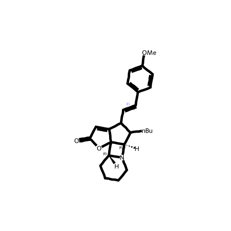 CCCCC1C(/C=C/c2ccc(OC)cc2)C2=CC(=O)OC23[C@H]2CCCCN2[C@H]13